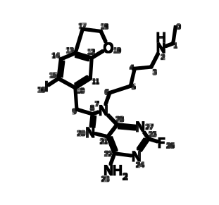 CCNCCCCn1c(Cc2cc3c(cc2I)CCO3)nc2c(N)nc(F)nc21